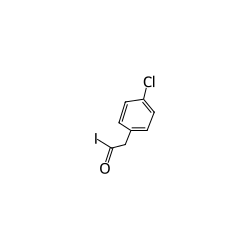 O=C(I)Cc1ccc(Cl)cc1